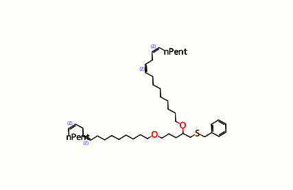 CCCCC/C=C\C/C=C\CCCCCCCCOCCCC(CSCc1ccccc1)OCCCCCCCC/C=C\C/C=C\CCCCC